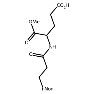 CCCCCCCCCCCC(=O)NC(CCC(=O)O)C(=O)OC